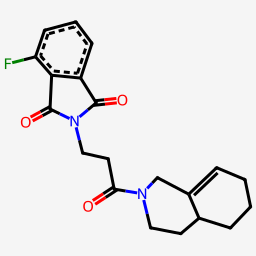 O=C(CCN1C(=O)c2cccc(F)c2C1=O)N1CCC2CCCC=C2C1